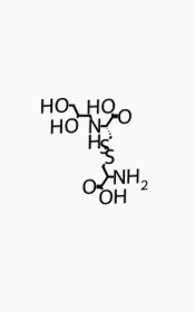 NC(CSSC[C@H](NCC(O)CO)C(=O)O)C(=O)O